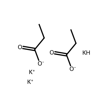 CCC(=O)[O-].CCC(=O)[O-].[K+].[K+].[KH]